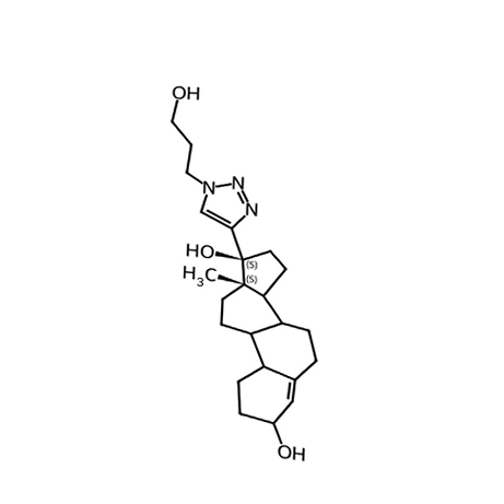 C[C@]12CCC3C4CCC(O)C=C4CCC3C1CC[C@@]2(O)c1cn(CCCO)nn1